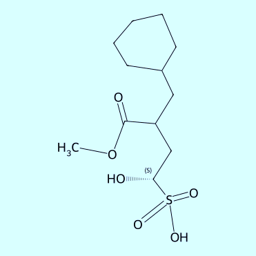 COC(=O)C(CC1CCCCC1)C[C@@H](O)S(=O)(=O)O